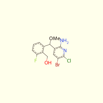 COC(c1cc(Br)c(Cl)nc1N)c1cccc(F)c1CO